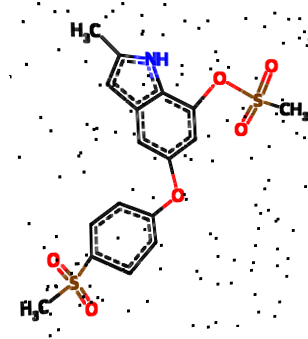 Cc1cc2cc(Oc3ccc(S(C)(=O)=O)cc3)cc(OS(C)(=O)=O)c2[nH]1